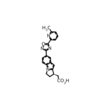 Cc1cccc(-c2nc(-c3ccc4c(c3)cc3n4CC[C@@H]3CC(=O)O)no2)n1